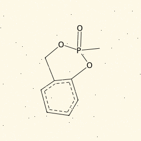 CP1(=O)OCc2ccccc2O1